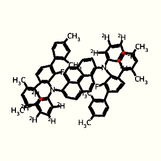 [2H]c1c([2H])c([2H])c(N(c2c(-c3ccc(C)cc3C)ccc(-c3ccc(C)cc3C)c2F)c2ccc3ccc4c(N(c5c([2H])c([2H])c([2H])c([2H])c5[2H])c5c(-c6ccc(C)cc6C)ccc(-c6ccc(C)cc6C)c5F)ccc5ccc2c3c54)c([2H])c1[2H]